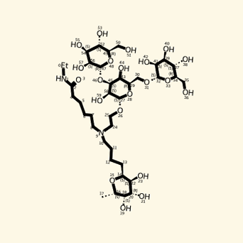 CCNC(=O)CCCCCN(CCCC[C@@H]1O[C@@H](C)[C@@H](O)[C@@H](O)[C@@H]1O)CCO[C@H]1O[C@H](CO[C@H]2O[C@H](CO)[C@@H](O)[C@H](O)[C@@H]2O)C(O)[C@H](O[C@H]2O[C@H](CO)[C@@H](O)[C@H](O)[C@@H]2O)[C@@H]1O